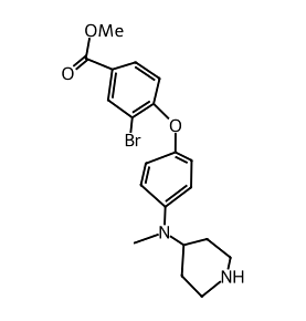 COC(=O)c1ccc(Oc2ccc(N(C)C3CCNCC3)cc2)c(Br)c1